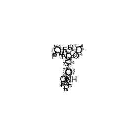 O=C(c1ccccc1)c1cn(Cc2c(F)cccc2F)c2c(c1=O)CC(c1ccc(NC(=O)C(F)(F)F)cc1)S2